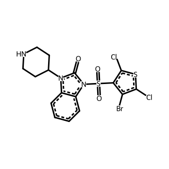 O=c1n(C2CCNCC2)c2ccccc2n1S(=O)(=O)c1c(Cl)sc(Cl)c1Br